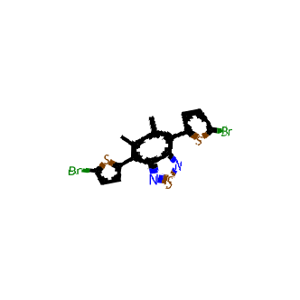 Cc1c(C)c(-c2ccc(Br)s2)c2nsnc2c1-c1ccc(Br)s1